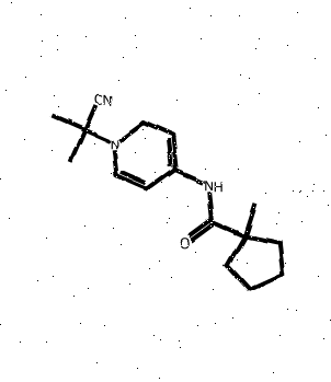 CC1(C(=O)NC2=CCN(C(C)(C)C#N)C=C2)CCCC1